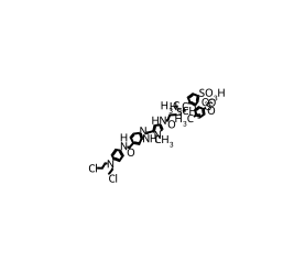 Cc1ccc(S(=O)(=O)O)cc1.Cc1ccc(S(=O)(=O)[O-])cc1.Cn1cc(NC(=O)CC[S+](C)C)cc1-c1nc2ccc(C(=O)Nc3ccc(N(CCCl)CCCl)cc3)cc2[nH]1